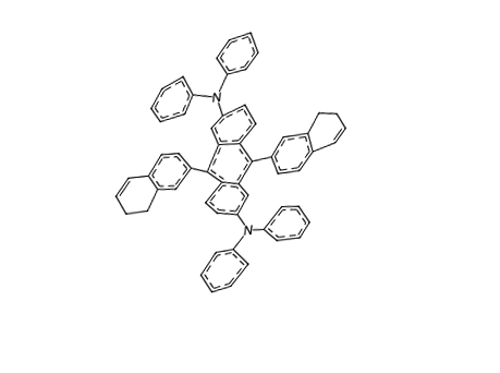 C1=Cc2ccc(-c3c4ccc(N(c5ccccc5)c5ccccc5)cc4c(-c4ccc5c(c4)CCC=C5)c4ccc(N(c5ccccc5)c5ccccc5)cc34)cc2CC1